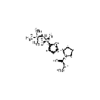 CC(C)(C)OC(=O)N1CCC[C@H]1c1ccc(S(=O)(=O)N[Si](C)(C)C(C)(C)C)s1